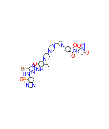 CCc1cc(Nc2ncc(Br)c(Nc3ccc4nccnc4c3P(C)(C)=O)n2)c(OC)cc1N1CCC(N2CCN(C[C@H]3CCN(c4ccc5c(c4)C(=O)N(C4CCC(=O)NC4=O)C5=O)C3)CC2)CC1